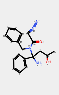 CC(O)CC(N)(c1ccccc1)N(Cc1ccccc1)C(=O)C=[N+]=[N-]